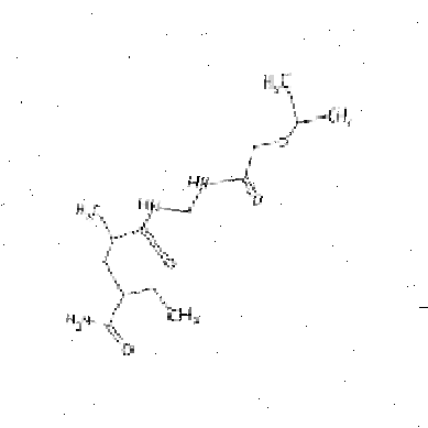 CCC(CC(C)C(=O)NCNC(=O)COC(C)C)C(N)=O